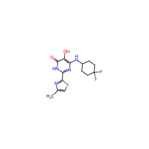 Cc1csc(-c2nc(NC3CCC(F)(F)CC3)c(O)c(=O)[nH]2)n1